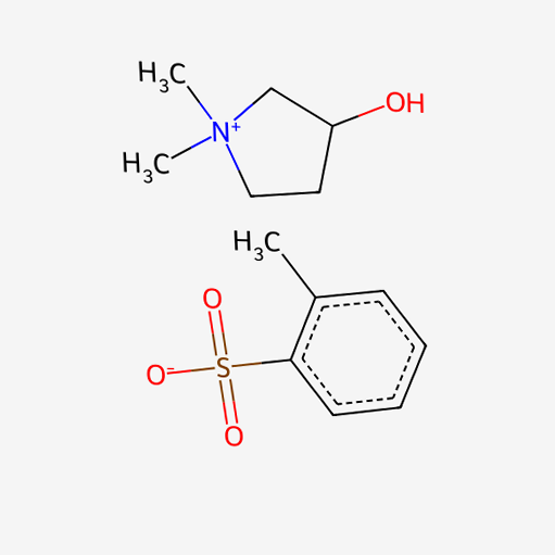 C[N+]1(C)CCC(O)C1.Cc1ccccc1S(=O)(=O)[O-]